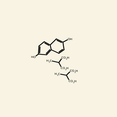 CC(C(=O)O)C(=O)O.CC(C(=O)O)C(=O)O.Oc1ccc2cc(O)ccc2c1